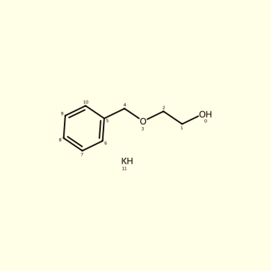 OCCOCc1ccccc1.[KH]